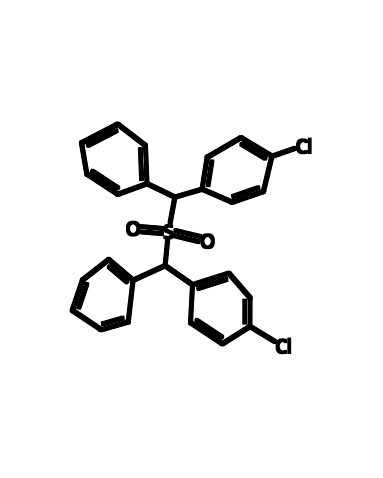 O=S(=O)(C(c1ccccc1)c1ccc(Cl)cc1)C(c1ccccc1)c1ccc(Cl)cc1